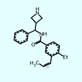 C/C=C\c1cc(C(=O)NC(c2ccccc2)C2CNC2)ccc1CC